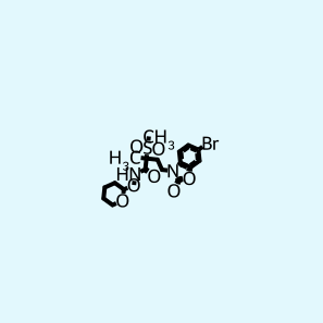 CC(CCn1c(=O)oc2cc(Br)ccc21)(C(=O)NOC1CCCCO1)S(C)(=O)=O